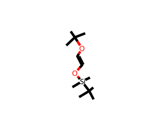 CC(C)(C)OC=CO[Si](C)(C)C(C)(C)C